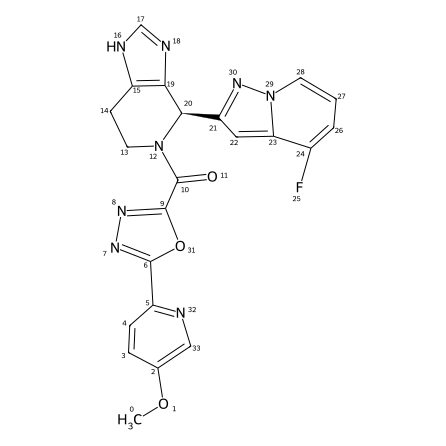 COc1ccc(-c2nnc(C(=O)N3CCc4[nH]cnc4[C@H]3c3cc4c(F)cccn4n3)o2)nc1